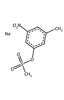 Cc1cc(OS(C)(=O)=O)cc([N+](=O)[O-])c1.[Na]